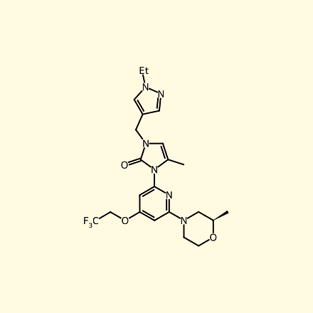 CCn1cc(Cn2cc(C)n(-c3cc(OCC(F)(F)F)cc(N4CCO[C@H](C)C4)n3)c2=O)cn1